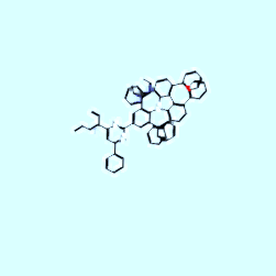 C=C/C=C(\C=C)c1cc(-c2ccccc2)nc(-c2cc(C(/C=C\C)=C/C)c(-n3c4c(-c5ccccc5)ccc(-c5ccccc5)c4c4c(-c5ccccc5)ccc(-c5ccccc5)c43)c(-c3ccccc3)c2)n1